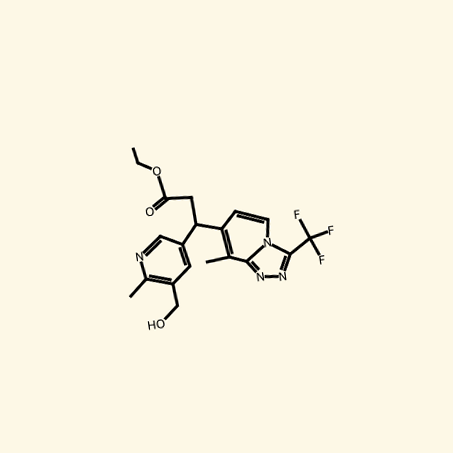 CCOC(=O)CC(c1cnc(C)c(CO)c1)c1ccn2c(C(F)(F)F)nnc2c1C